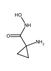 NC1(C(=O)NO)CC1